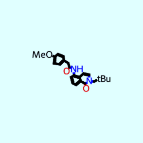 COc1ccc(CC(=O)Nc2cccc3c(=O)n(CC(C)(C)C)ccc23)cc1